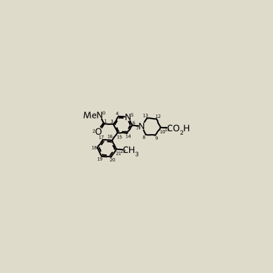 CNC(=O)c1cnc(N2CCC(C(=O)O)CC2)cc1-c1ccccc1C